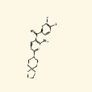 N=C(c1ccc(Cl)c(Cl)c1)c1ncc(N2CCC3(CCCC3)CC2)nc1N